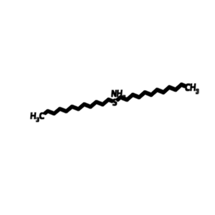 CCCCCCCCCCCCSCCCCCCCCCCCC.N